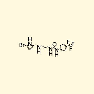 O=C(NCCCNCc1ccc(Br)[nH]1)Nc1ccc(C(F)(F)F)cc1